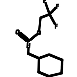 O=[PH](CC1CCCCC1)OCC(F)(F)F